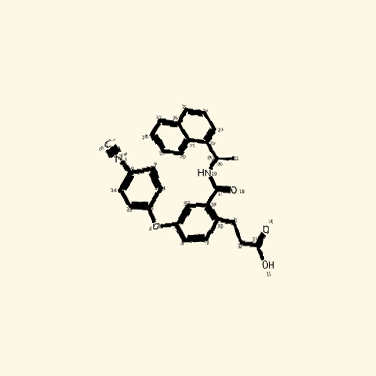 [C-]#[N+]c1ccc(Oc2ccc(CCC(=O)O)c(C(=O)N[C@H](C)c3cccc4ccccc34)c2)cc1